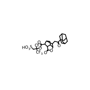 O=C(OC(CS(=O)(=O)O)(C(F)(F)F)C(F)(F)F)C1C2CC3C(OC(=O)C31)C2CC(=O)C12CC3CC(CC(C3)C1)C2